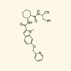 CC(C)CC(C#N)NC(=O)[C@@H]1CCCC[C@@H]1NC(=O)c1cc2ccc(OCc3ccccn3)cc2n1C